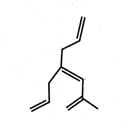 C=CCC(=[C]C(=C)C)CC=C